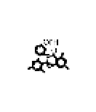 Cc1cc(C)c(C(=O)P(C(=O)c2c(C)cc(C)cc2C)c2ccccc2)c(C)c1.O=P